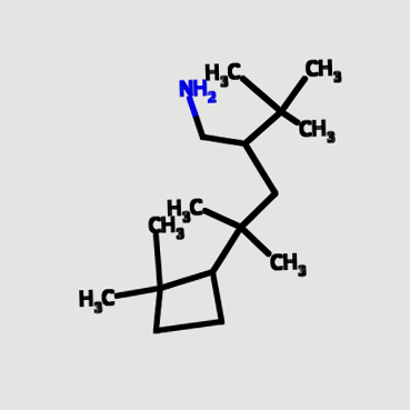 CC(C)(C)C(CN)CC(C)(C)C1CCC1(C)C